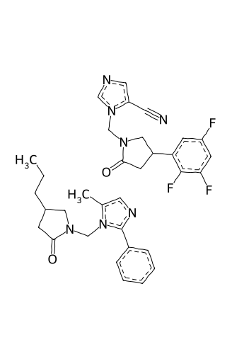 CCCC1CC(=O)N(Cn2c(C)cnc2-c2ccccc2)C1.N#Cc1cncn1CN1CC(c2cc(F)cc(F)c2F)CC1=O